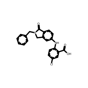 O=C(O)c1cc(Cl)ccc1Nc1ccc2c(c1)CN(Cc1ccccc1)C2=O